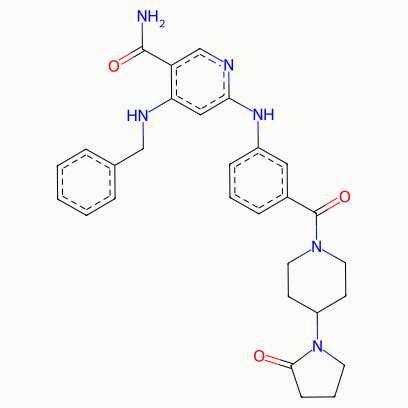 NC(=O)c1cnc(Nc2cccc(C(=O)N3CCC(N4CCCC4=O)CC3)c2)cc1NCc1ccccc1